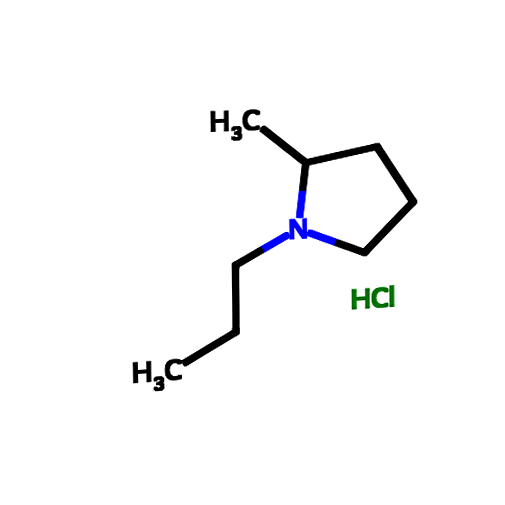 CCCN1CCCC1C.Cl